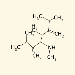 C=C(C(C)C)C(C)C(NC)C(=C)C(C)C